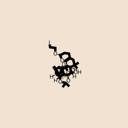 C=C1C(=O)[C@@]23[C@@H]4OC(C)(C)O[C@]25OC[C@]2(C6=C(CC[C@@H](OCCI)O6)CC(C)(C)[C@H]2[C@@H]5O)[C@@H]3CC[C@@H]14